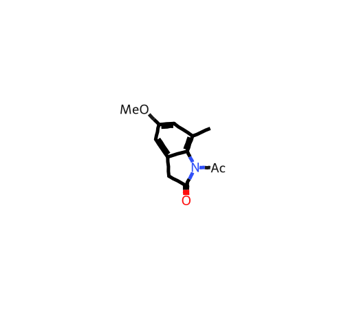 COc1cc(C)c2c(c1)CC(=O)N2C(C)=O